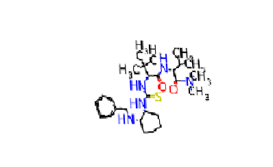 CC(C)[C@@H](NC(=O)[C@@H](NC(=S)N[C@H]1CCCC[C@@H]1NCc1ccccc1)C(C)(C)C)C(=O)N(C)C